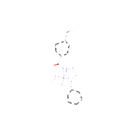 O=Cc1ccc(C(=O)N2CCN(c3ccccc3)C23COC3)cc1